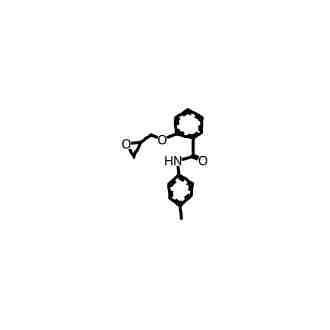 Cc1ccc(NC(=O)c2ccccc2OCC2CO2)cc1